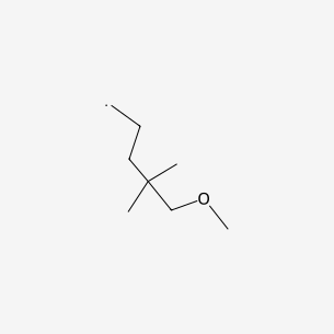 [CH2]CCC(C)(C)COC